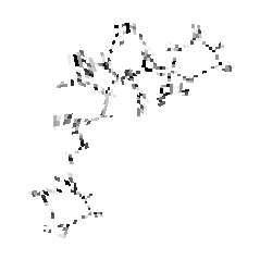 Cc1[nH]c2ccc(CCN3CCCCC3)cc2c1C(=O)OC1(C)CCCCC1